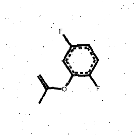 C=C(C)Oc1cc(F)ccc1F